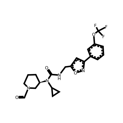 O=CN1CCC[C@@H](N(C(=O)NCc2cc(-c3cccc(OC(F)(F)F)c3)no2)C2CC2)C1